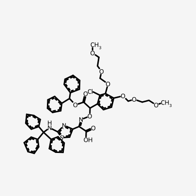 COCCOCOc1ccc(C(ON=C(C(=O)O)c2csc(NC(c3ccccc3)(c3ccccc3)c3ccccc3)n2)C(=O)OC(c2ccccc2)c2ccccc2)c(Cl)c1OCOCCOC